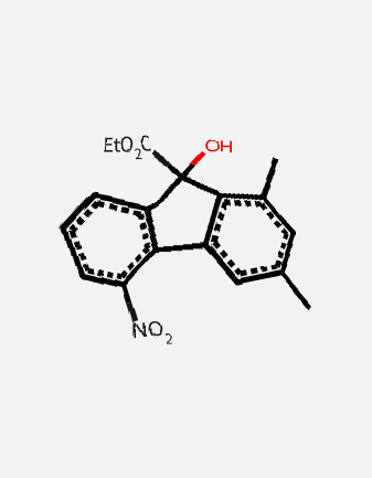 CCOC(=O)C1(O)c2cccc([N+](=O)[O-])c2-c2cc(C)cc(C)c21